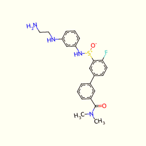 CN(C)C(=O)c1cccc(-c2ccc(F)c([S+]([O-])Nc3cccc(NCCN)c3)c2)c1